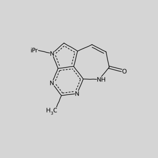 Cc1nc2c3c(cn(C(C)C)c3n1)C=CC(=O)N2